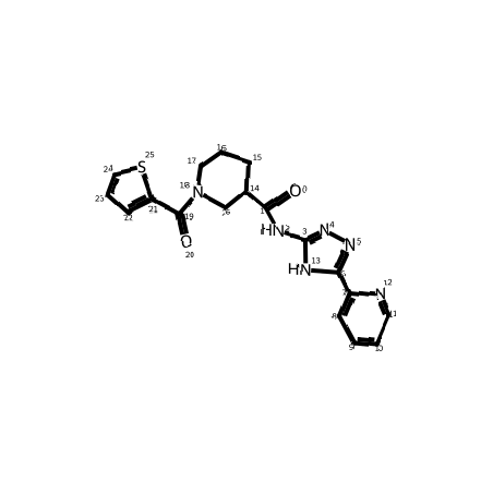 O=C(Nc1nnc(-c2ccccn2)[nH]1)C1CCCN(C(=O)c2cccs2)C1